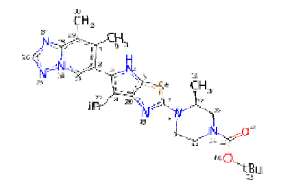 Cc1c(-c2[nH]c3sc(N4CCN(C(=O)OC(C)(C)C)C[C@@H]4C)nc3c2C(C)C)cn2ncnc2c1C